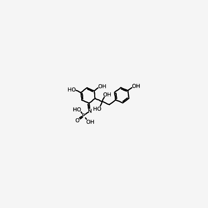 O=P(O)(O)N=C1C=C(O)C=C(O)C1C(O)(O)Cc1ccc(O)cc1